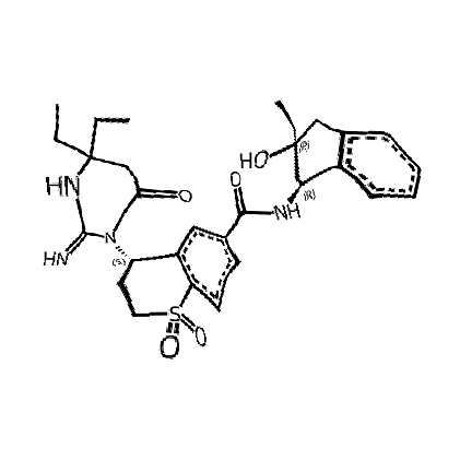 CCC1(CC)CC(=O)N([C@H]2CCS(=O)(=O)c3ccc(C(=O)N[C@@H]4c5ccccc5C[C@@]4(C)O)cc32)C(=N)N1